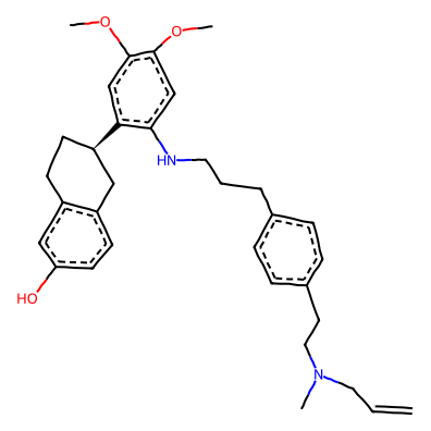 C=CCN(C)CCc1ccc(CCCNc2cc(OC)c(OC)cc2[C@@H]2CCc3cc(O)ccc3C2)cc1